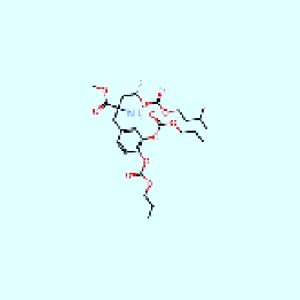 CCCOC(=O)Oc1ccc(CC(N)(C[C@H](C)OC(=O)OCCC(C)C)C(=O)OC)cc1OC(=O)OCCC